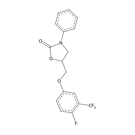 O=C1OC(COc2ccc(F)c(C(F)(F)F)c2)CN1c1ccccc1